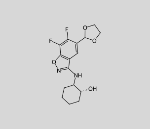 O[C@@H]1CCCCC1Nc1noc2c(F)c(F)c(C3OCCO3)cc12